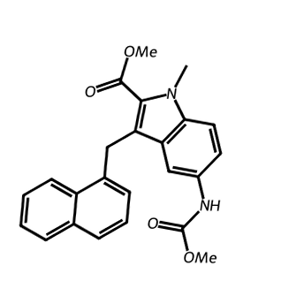 COC(=O)Nc1ccc2c(c1)c(Cc1cccc3ccccc13)c(C(=O)OC)n2C